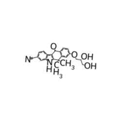 CC1(C)c2cc(OCC(O)CO)ccc2C(=O)c2c1[nH]c1cc(C#N)ccc21